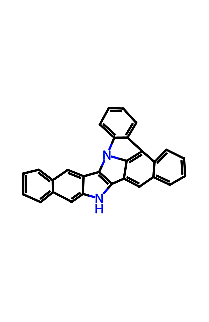 c1ccc2cc3c(cc2c1)[nH]c1c2cc4ccccc4c4c5ccccc5n(c31)c24